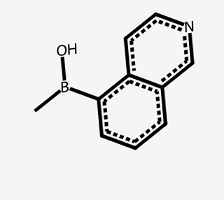 CB(O)c1cccc2cnccc12